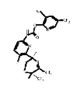 C[C@@]1(c2nc(NC(=O)Oc3ncc(C(F)(F)F)cc3Cl)ccc2F)CO[C@@](C)(C(F)(F)F)C(N)=N1